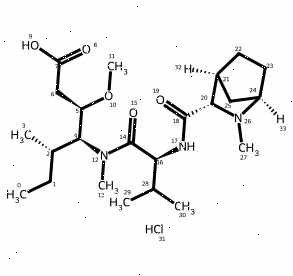 CC[C@H](C)[C@@H]([C@@H](CC(=O)O)OC)N(C)C(=O)[C@@H](NC(=O)[C@@H]1[C@H]2CC[C@H](C2)N1C)C(C)C.Cl